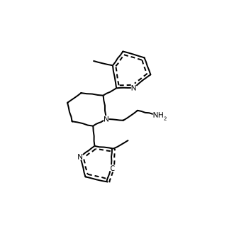 Cc1cccnc1C1CCCC(c2ncccc2C)N1CCN